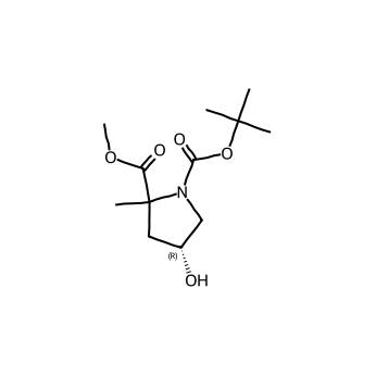 COC(=O)C1(C)C[C@@H](O)CN1C(=O)OC(C)(C)C